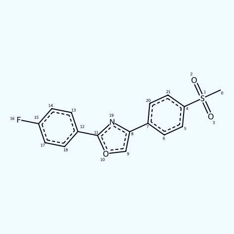 CS(=O)(=O)c1ccc(-c2coc(-c3ccc(F)cc3)n2)cc1